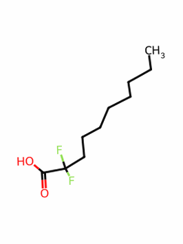 CCCCCCCCC(F)(F)C(=O)O